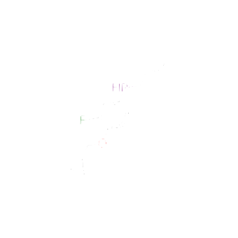 CCCCPc1ccc(OCC2CC2)c(F)c1